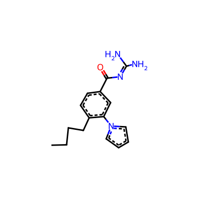 CCCCc1ccc(C(=O)N=C(N)N)cc1-n1cccc1